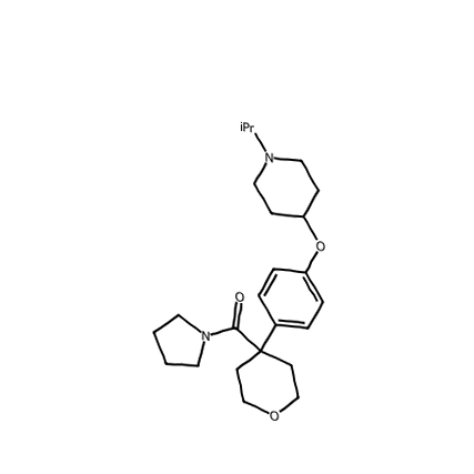 CC(C)N1CCC(Oc2ccc(C3(C(=O)N4CCCC4)CCOCC3)cc2)CC1